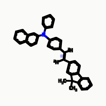 [2H]/C(=C(/[2H])c1ccc2c(c1)C(C)(C)c1ccccc1-2)c1ccc(N(c2ccccc2)c2ccc3ccccc3c2)cc1